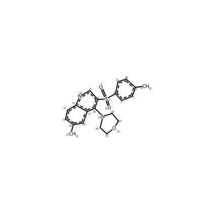 Cc1ccc(S(=O)(=O)c2cnc3ccc(C)cc3c2N2CCOCC2)cc1